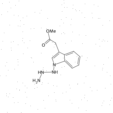 COC(=O)Cc1cn(NNN)c2ccccc12